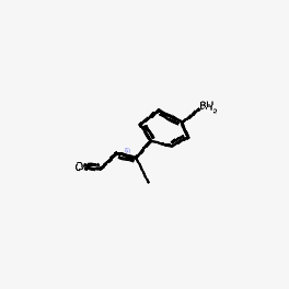 Bc1ccc(/C(C)=C/C=O)cc1